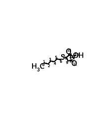 CCCCCCCSC1CC(=O)N(O)C1=O